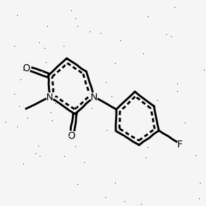 Cn1c(=O)ccn(-c2ccc(F)cc2)c1=O